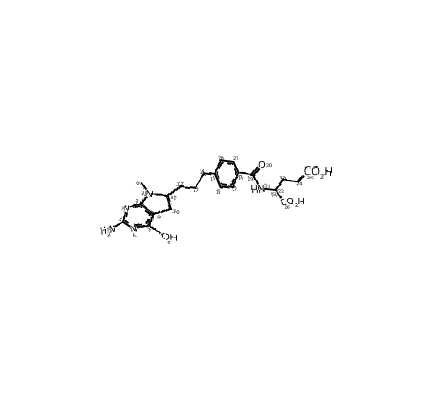 CN1c2nc(N)nc(O)c2CC1CCCc1ccc(C(=O)N[C@@H](CCC(=O)O)C(=O)O)cc1